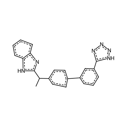 CC(c1ccc(-c2cccc(-c3nnn[nH]3)c2)cc1)c1nc2ccccc2[nH]1